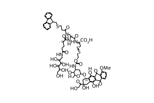 COc1cccc2c1C(=O)c1c(O)c3c(c(O)c1C2=O)C[C@@](O)(C(=O)CO)C[C@@H]3OC1CC(NC(=O)OCCSSC[C@H](NC(=O)[C@H](CNC(=O)CCSCC2c3ccccc3-c3ccccc32)NC(=O)[C@@H](C)CCC(=O)NC[C@H](O)[C@@H](O)[C@H](O)[C@H](O)CO)C(=O)O)C(O)C(C)O1